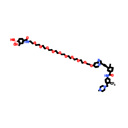 Cc1ccc(C(=O)Nc2ccc(CN3CCN(C)CC3)c(C(F)(F)F)c2)cc1C#Cc1cnc2cc(OCCOCCOCCOCCOCCOCCOCCOCCOCCOCCNC(=O)c3ccc(B(O)O)c(C)c3)ccn12